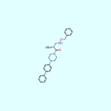 CCCC[C@@H](CNOCc1ccccc1)C(=O)N1CCN(c2ccc(-c3ccccc3)cc2)CC1